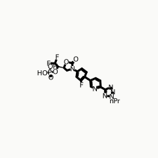 CCCn1nnc(-c2ccc(-c3ccc(N4C[C@@H](C(OP(=O)(O)O)C(F)F)OC4=O)cc3F)cn2)n1